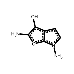 Nc1oc2c(ccn2N)c1O